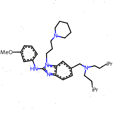 COc1cccc(Nc2nc3ccc(CN(CCC(C)C)CCC(C)C)cc3n2CCCN2CCCCC2)c1